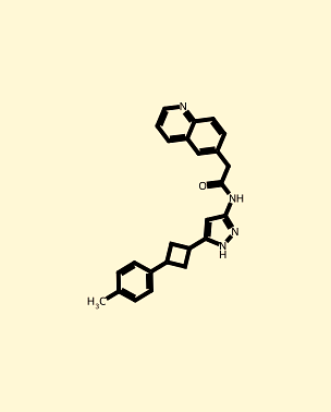 Cc1ccc(C2CC(c3cc(NC(=O)Cc4ccc5ncccc5c4)n[nH]3)C2)cc1